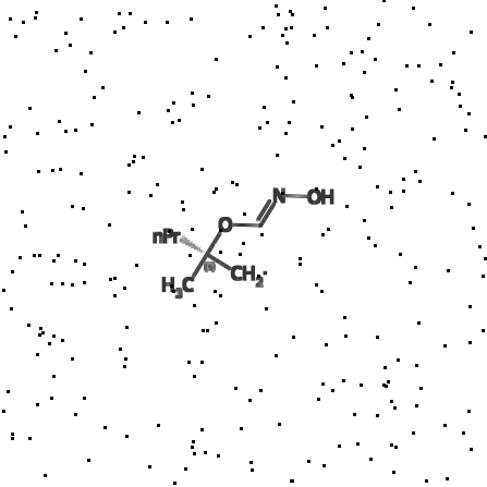 [CH2][C@](C)(CCC)OC=NO